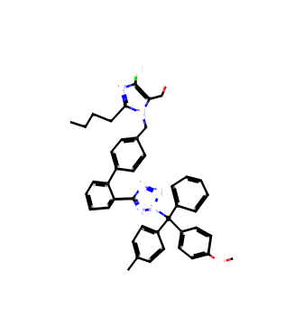 CCCCc1nc(Cl)c(CO)n1Cc1ccc(-c2ccccc2-c2nnn(C(c3ccccc3)(c3ccc(C)cc3)c3ccc(OC)cc3)n2)cc1